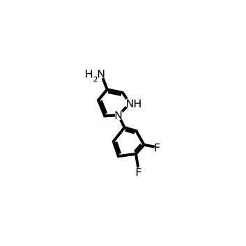 NC1=CNN(c2ccc(F)c(F)c2)C=C1